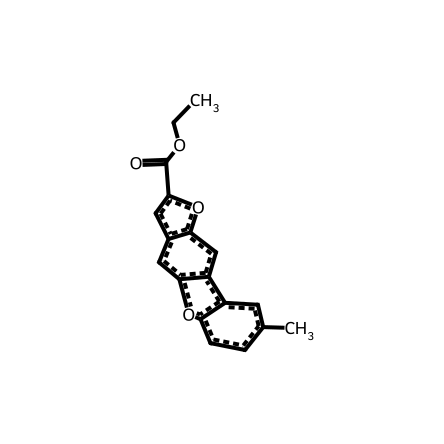 CCOC(=O)c1cc2cc3oc4ccc(C)cc4c3cc2o1